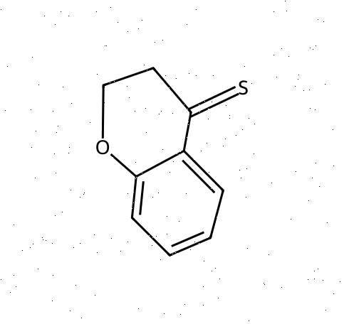 S=C1CCOc2ccccc21